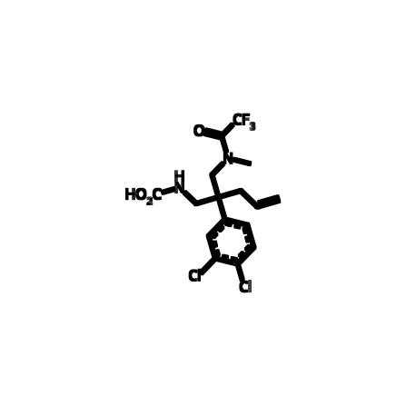 C=CCC(CNC(=O)O)(CN(C)C(=O)C(F)(F)F)c1ccc(Cl)c(Cl)c1